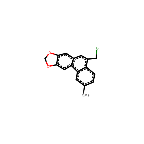 COc1ccc2c(CBr)cc3cc4c(cc3c2c1)OCO4